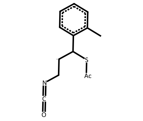 CC(=O)SC([CH]CN=C=O)c1ccccc1C